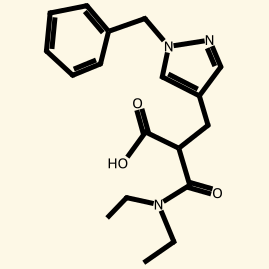 CCN(CC)C(=O)C(Cc1cnn(Cc2ccccc2)c1)C(=O)O